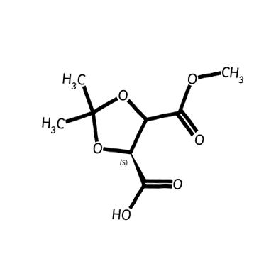 COC(=O)C1OC(C)(C)O[C@@H]1C(=O)O